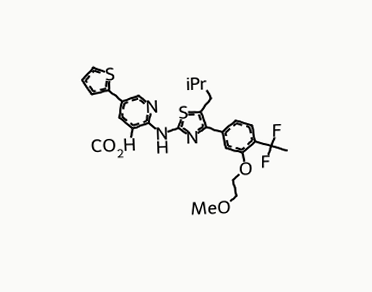 COCCOc1cc(-c2nc(Nc3ncc(-c4cccs4)cc3C(=O)O)sc2CC(C)C)ccc1C(C)(F)F